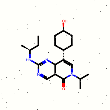 CC[C@H](C)NC1=NC2C([C@H]3CC[C@H](O)CC3)=CN(C(C)C)C(=O)C2C=N1